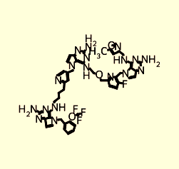 Cc1cc(CNc2nc(N)nc3ccn(Cc4nc(COCCNc5nc(N)nc6ccn(Cc7ccnc(CCCCNc8nc(N)nc9ccn(Cc%10ccccc%10OC(F)(F)F)c89)c7)c56)ccc4F)c23)no1